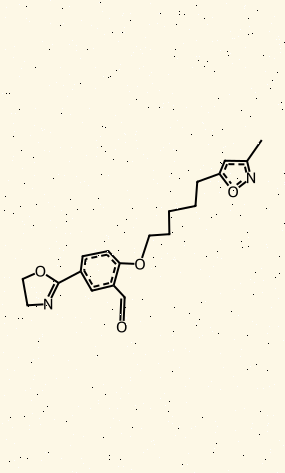 Cc1cc(CCCCCOc2ccc(C3=NCCO3)cc2C=O)on1